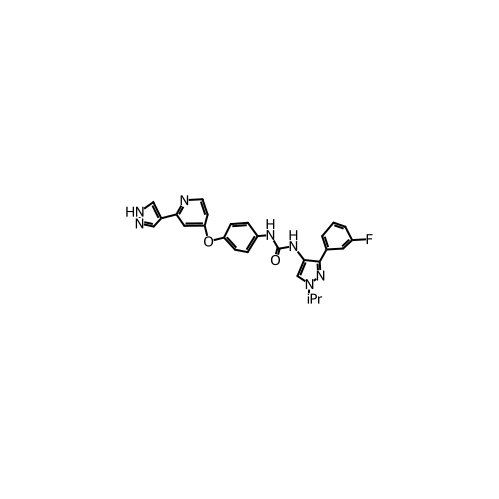 CC(C)n1cc(NC(=O)Nc2ccc(Oc3ccnc(-c4cn[nH]c4)c3)cc2)c(-c2cccc(F)c2)n1